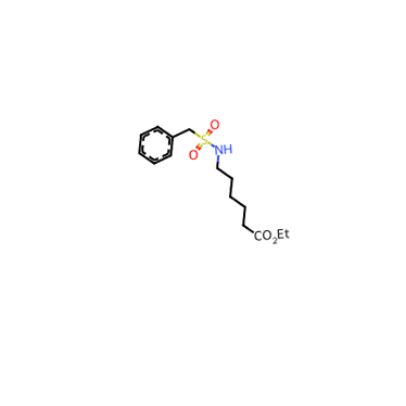 CCOC(=O)CCCCCNS(=O)(=O)Cc1ccccc1